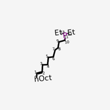 CCCCCCCCC=CCCCCCCCCP(CC)CC